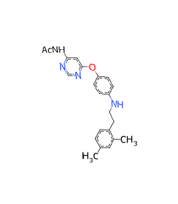 CC(=O)Nc1cc(Oc2ccc(NCCc3ccc(C)cc3C)cc2)ncn1